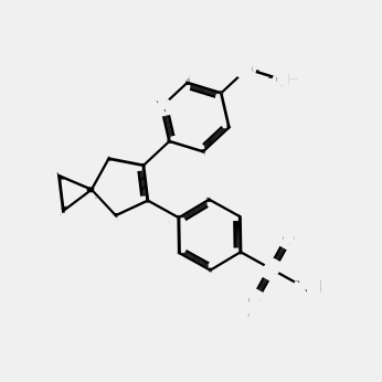 COc1ccc(C2=C(c3ccc(S(N)(=O)=O)cc3)CC3(CC3)C2)nc1